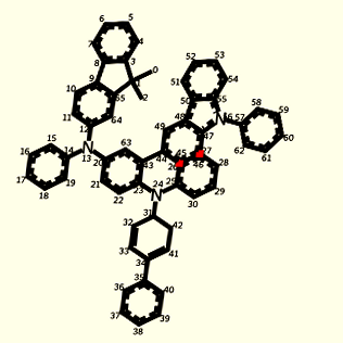 CC1(C)c2ccccc2-c2ccc(N(c3ccccc3)c3ccc(N(c4ccccc4)C4C=CC(c5ccccc5)=CC4)c(-c4ccc5c(c4)c4ccccc4n5-c4ccccc4)c3)cc21